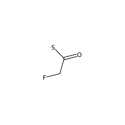 O=C([S])CF